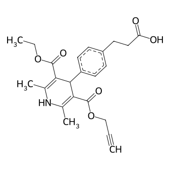 C#CCOC(=O)C1=C(C)NC(C)=C(C(=O)OCC)C1c1ccc(CCC(=O)O)cc1